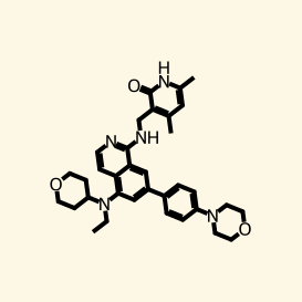 CCN(c1cc(-c2ccc(N3CCOCC3)cc2)cc2c(NCc3c(C)cc(C)[nH]c3=O)nccc12)C1CCOCC1